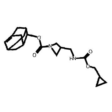 O=C(NCC1CN(C(=O)OC2C3CC4=CC(C3)CC2C4)C1)OCC1CC1